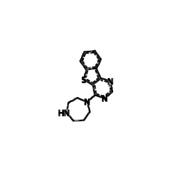 c1ccc2c(c1)sc1c(N3CCCNCC3)ncnc12